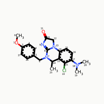 COc1ccc(CN2C3=NC(=O)CN3c3ccc(N(C)C)c(Cl)c3C2C)cc1